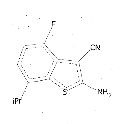 CC(C)c1ccc(F)c2c(C#N)c(N)sc12